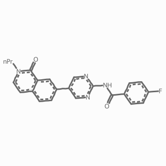 CCCn1ccc2ccc(-c3cnc(NC(=O)c4ccc(F)cc4)nc3)cc2c1=O